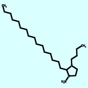 CCCCCCCCCCCCCCCCC1N(N)CCN1CCCC